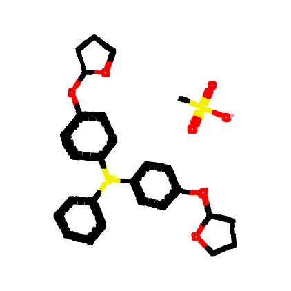 CS(=O)(=O)[O-].c1ccc([S+](c2ccc(OC3CCCO3)cc2)c2ccc(OC3CCCO3)cc2)cc1